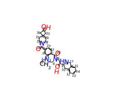 CCN1CCN(CC(O)C2Cc3ccccc3CN2)C(=O)c2ccc(C(=O)N3CCC4(CC3)CC(O)C4)cc21